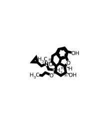 CCCO[C@H]1C[C@@H](O)[C@@H]2Oc3c(O)ccc4c3C2[C@]1(O)[C@H]([N+](C)(CC)CC1CC1)C4